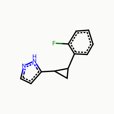 Fc1ccccc1C1CC1c1ccn[nH]1